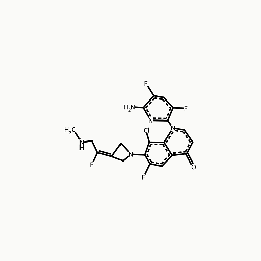 CNCC(F)=C1CN(c2c(F)cc3c(=O)ccn(-c4nc(N)c(F)cc4F)c3c2Cl)C1